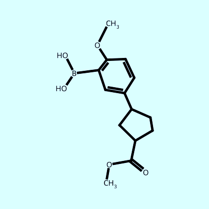 COC(=O)C1CCC(c2ccc(OC)c(B(O)O)c2)C1